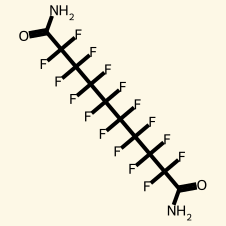 NC(=O)C(F)(F)C(F)(F)C(F)(F)C(F)(F)C(F)(F)C(F)(F)C(F)(F)C(F)(F)C(N)=O